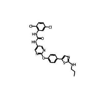 CCCNc1ncc(-c2ccc(Oc3ncc(NC(=O)Nc4cc(Cl)ccc4Cl)cn3)cc2)s1